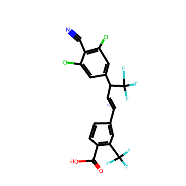 N#Cc1c(Cl)cc(C(/C=C/c2ccc(C(=O)O)c(C(F)(F)F)c2)C(F)(F)F)cc1Cl